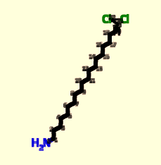 NCCCCCCCCCCCCCCCCCCC[SiH](Cl)Cl